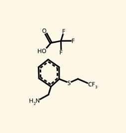 NCc1ccccc1SCC(F)(F)F.O=C(O)C(F)(F)F